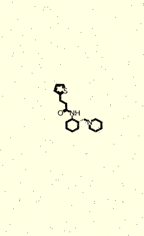 O=C(CCc1cccs1)N[C@@H]1CCCC[C@H]1CN1CCCCC1